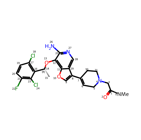 CNC(=O)CN1CC=C(c2coc3c(O[C@H](C)c4c(Cl)ccc(F)c4Cl)c(N)ncc23)CC1